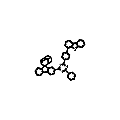 c1ccc(-c2nc(-c3ccc(-c4cccc5c4sc4ccccc45)cc3)nc(-c3ccc4c(c3)C3(c5ccccc5-4)C4CC5CC(C4)CC3C5)n2)cc1